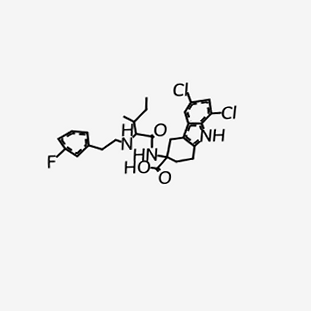 CCC(C)C(NCCc1cccc(F)c1)C(=O)NC1(C(=O)O)CCc2[nH]c3c(Cl)cc(Cl)cc3c2C1